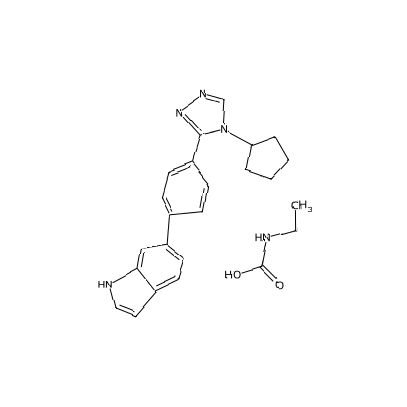 CCNC(=O)O.c1cc2ccc(-c3ccc(-c4nncn4C4CCCC4)cc3)cc2[nH]1